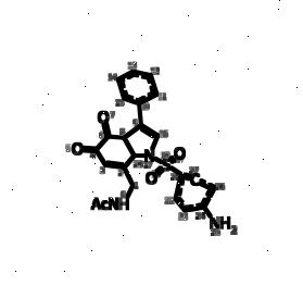 CC(=O)NCC1=CC(=O)C(=O)C2C(c3ccccc3)=CN(S(=O)(=O)c3ccc(N)cc3)C12